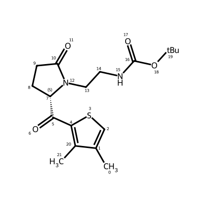 Cc1csc(C(=O)[C@@H]2CCC(=O)N2CCNC(=O)OC(C)(C)C)c1C